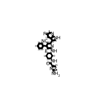 N#Cc1c(-c2c[nH]c3ncc(F)cc23)nc(NC2CCCC(NC(=O)c3csc(N)n3)C2)c(F)c1-c1ccccc1